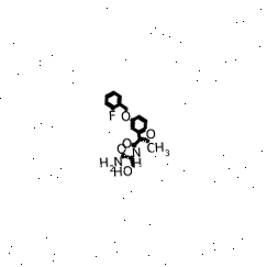 Cc1oc2ccc(OCc3ccccc3F)cc2c1C(=O)NC(CO)C(N)=O